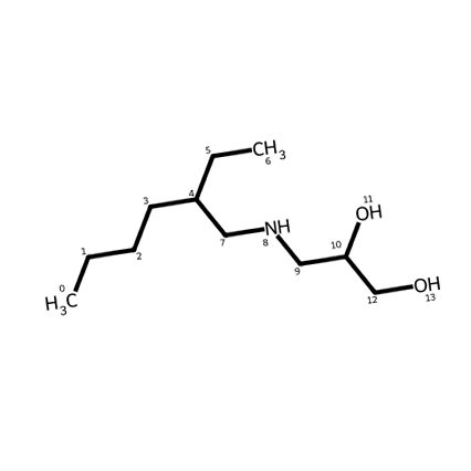 CCCCC(CC)CNCC(O)CO